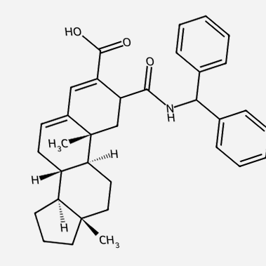 C[C@@]12CCC[C@H]1[C@@H]1CC=C3C=C(C(=O)O)C(C(=O)NC(c4ccccc4)c4ccccc4)C[C@]3(C)[C@H]1CC2